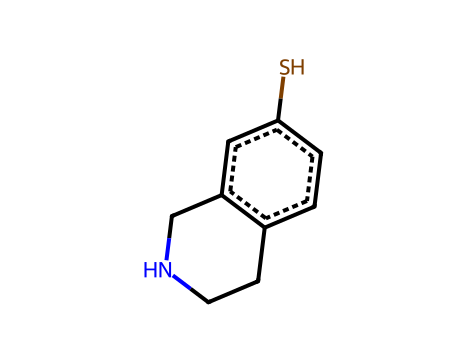 Sc1ccc2c(c1)CNCC2